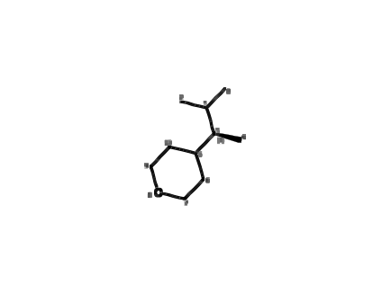 CC(C)[C@@H](C)C1CCOCC1